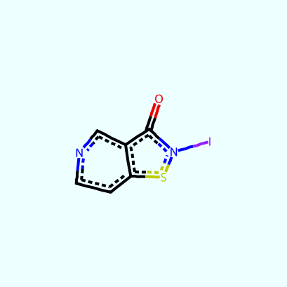 O=c1c2cnccc2sn1I